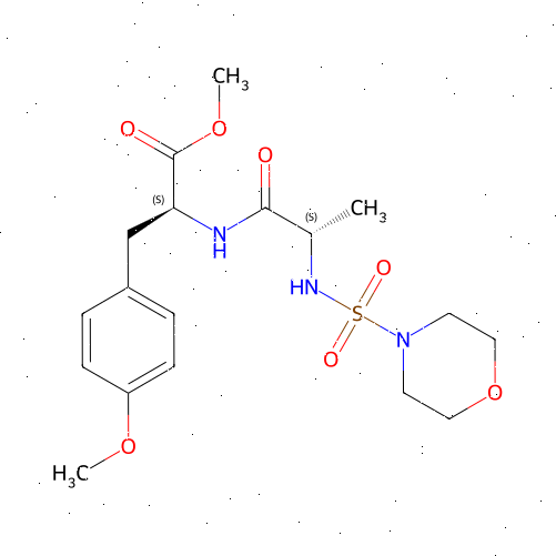 COC(=O)[C@H](Cc1ccc(OC)cc1)NC(=O)[C@H](C)NS(=O)(=O)N1CCOCC1